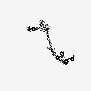 Cc1ncsc1-c1ccc(CNC(=O)[C@@H]2C[C@@H](O)CN2C(=O)[C@@H](NC(=O)CCOCCOCCOCCNC(=O)CN2CCN(c3ccc(C(=O)Nc4n[nH]c5ccc(Cc6cc(F)cc(F)c6)cc45)c(NC4CCOCC4)c3)CC2)C(C)(C)C)cc1